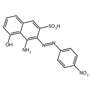 Nc1c(N=Nc2ccc([N+](=O)[O-])cc2)c(S(=O)(=O)O)cc2cccc(O)c12